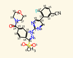 CS(=O)(=O)c1nn(-c2ncc(-c3cc(C#N)ccc3F)cn2)c2cc(C(=O)N3CCOCC3)ccc12